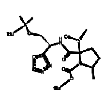 CC1CCC(C(=O)N[C@@H](CO[Si](C)(C)C(C)(C)C)c2nnco2)([S+](C)[O-])N1C(=O)OC(C)(C)C